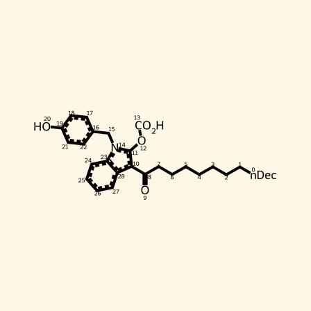 CCCCCCCCCCCCCCCCCC(=O)c1c(OC(=O)O)n(Cc2ccc(O)cc2)c2ccccc12